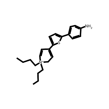 CCCC[N+]1(CCCC)C=CC(c2ccc(-c3ccc(N)cc3)s2)=CC1